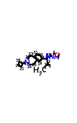 CC1CC1/C(=N\NC=O)c1ccc2c(c1)CCN(C1CCC1)CC2